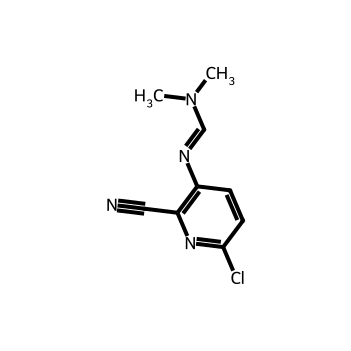 CN(C)C=Nc1ccc(Cl)nc1C#N